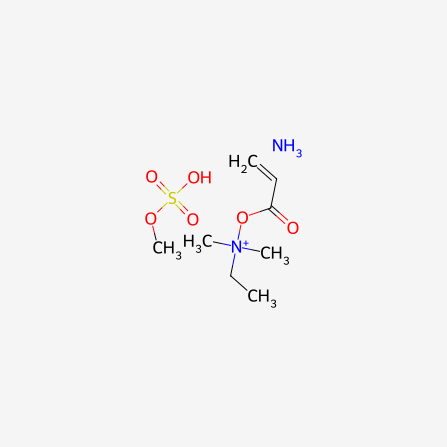 C=CC(=O)O[N+](C)(C)CC.COS(=O)(=O)O.N